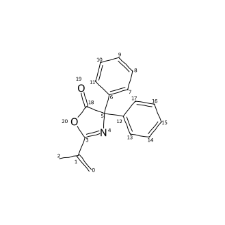 C=C(C)C1=NC(c2ccccc2)(c2ccccc2)C(=O)O1